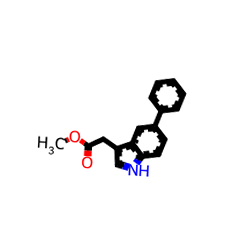 COC(=O)Cc1c[nH]c2ccc(-c3ccccc3)cc12